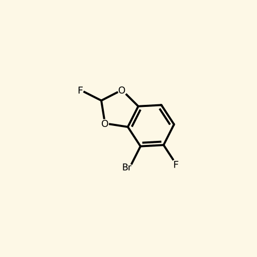 Fc1ccc2c(c1Br)OC(F)O2